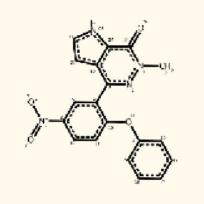 Cn1nc(-c2cc([N+](=O)[O-])ccc2Oc2ccccc2)c2cc[nH]c2c1=O